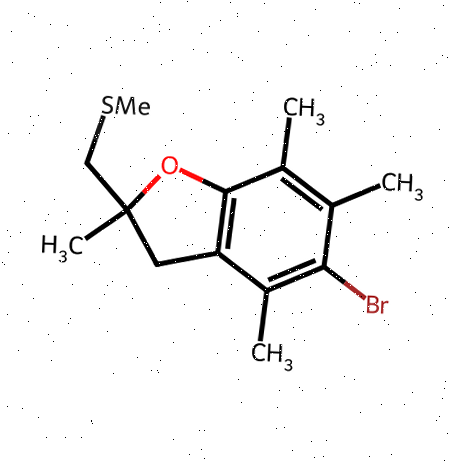 CSCC1(C)Cc2c(C)c(Br)c(C)c(C)c2O1